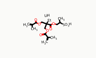 C=C(C)C(=O)OCC(CC)(COC(=O)C(=C)C)C(=O)OCC(C)S(=O)(=O)O.[LiH]